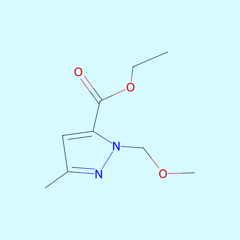 CCOC(=O)c1cc(C)nn1COC